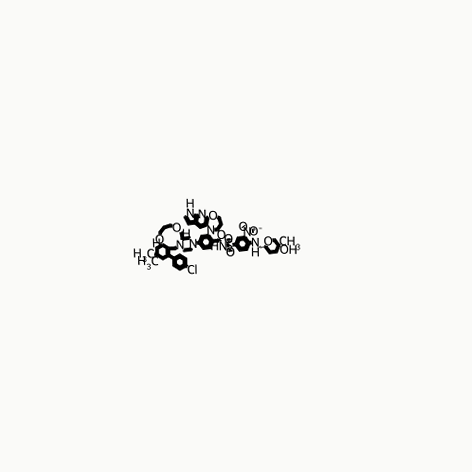 CC1(C)CC(c2ccc(Cl)cc2)=C2CN3CCN(c4ccc(C(=O)NS(=O)(=O)c5ccc(NC[C@H]6CC[C@](C)(O)CO6)c([N+](=O)[O-])c5)c(N5CCCOc6nc7[nH]ccc7cc65)c4)C[C@H]3COCCCO[C@@H]2C1